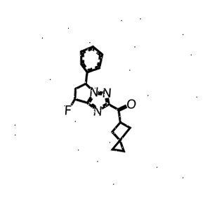 O=C(c1nc2n(n1)C(c1ccccc1)CC2F)C1CC2(CC2)C1